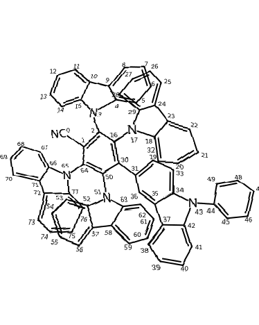 N#Cc1c(-n2c3ccccc3c3ccccc32)c(-n2c3ccccc3c3ccccc32)c(-c2ccc3c(c2)c2ccccc2n3-c2ccccc2)c(-n2c3ccccc3c3ccccc32)c1-n1c2ccccc2c2ccccc21